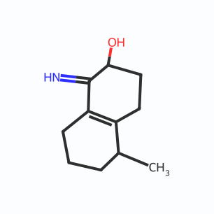 CC1CCCC2=C1CCC(O)C2=N